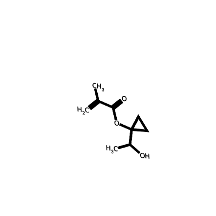 C=C(C)C(=O)OC1(C(C)O)CC1